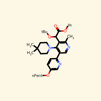 CCCCCOc1ccc(-c2cnc(C)c(C(OC(C)(C)C)C(=O)OC(C)C)c2N2CCC(C)(C)CC2)nc1